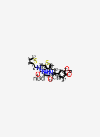 CCCC[C@@H](NC(=O)N(Cc1cccs1)Cc1cccs1)C(=O)N[C@](C)(CC(=O)O)c1ccc2c(c1)OCO2